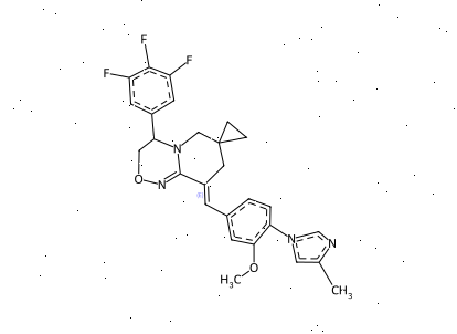 COc1cc(/C=C2\CC3(CC3)CN3C2=NOCC3c2cc(F)c(F)c(F)c2)ccc1-n1cnc(C)c1